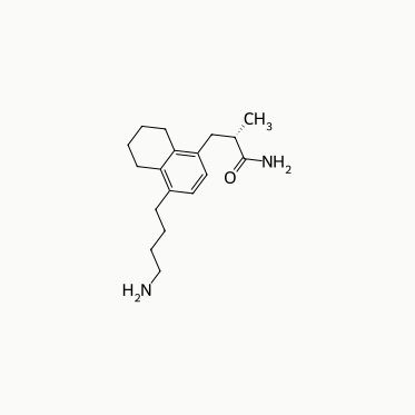 C[C@@H](Cc1ccc(CCCCN)c2c1CCCC2)C(N)=O